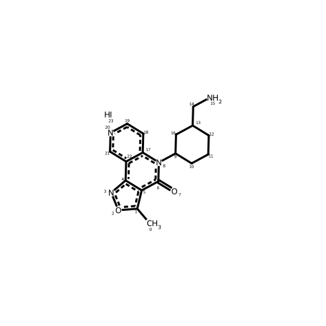 Cc1onc2c1c(=O)n(C1CCCC(CN)C1)c1ccncc21.I